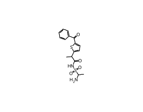 CC(C(=O)NS(=O)(=O)C(C)N)c1ccc(C(=O)c2ccccc2)s1